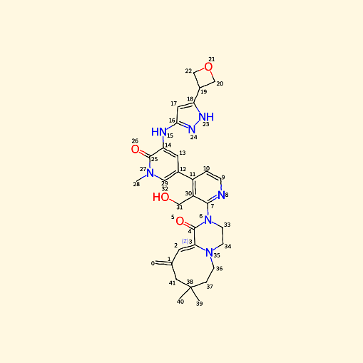 C=C1/C=C2/C(=O)N(c3nccc(-c4cc(Nc5cc(C6COC6)[nH]n5)c(=O)n(C)c4)c3CO)CCN2CCC(C)(C)C1